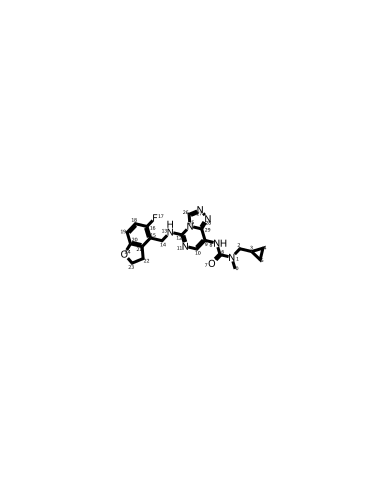 CN(CC1CC1)C(=O)Nc1cnc(NCc2c(F)ccc3c2CCO3)n2cnnc12